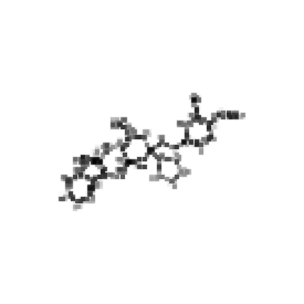 COc1ccc(CCC2(C3CCCC3)CC(O)=C(Sc3nc4cccnc4s3)C(=O)O2)cc1Cl